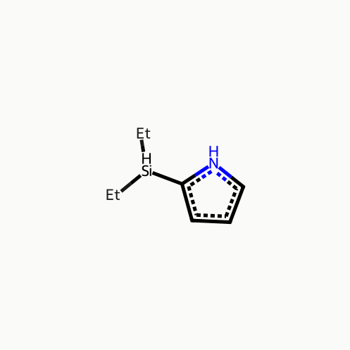 CC[SiH](CC)c1ccc[nH]1